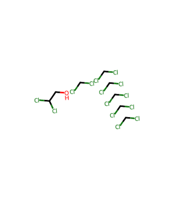 ClCCl.ClCCl.ClCCl.ClCCl.ClCCl.ClCCl.OCC(Cl)Cl